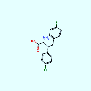 N[C@H](C(=O)O)[C@@H](Cc1ccc(F)cc1)c1ccc(Cl)cc1